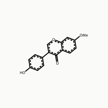 COc1ccc2c(=O)c(-c3ccc(O)cc3)coc2c1